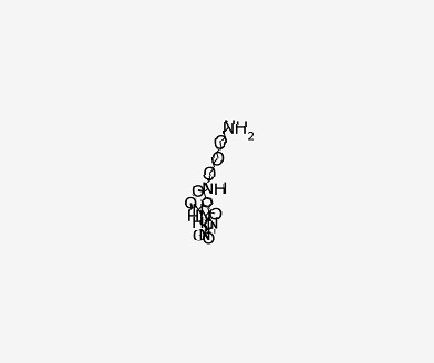 CC(=O)Nc1cc(C(=O)NCCOCCOCCOCCN)ccc1C(=O)Nc1ncc([N+](=O)[O-])s1